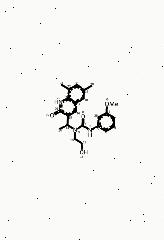 COc1cccc(NC(=O)N(CCO)C(C)c2cc3cc(C)cc(C)c3[nH]c2=O)c1